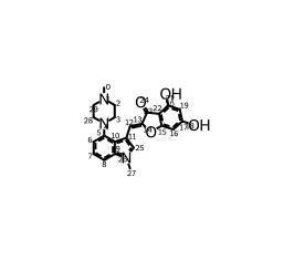 CN1CCN(c2cccc3c2c(C=C2Oc4cc(O)cc(O)c4C2=O)cn3C)CC1